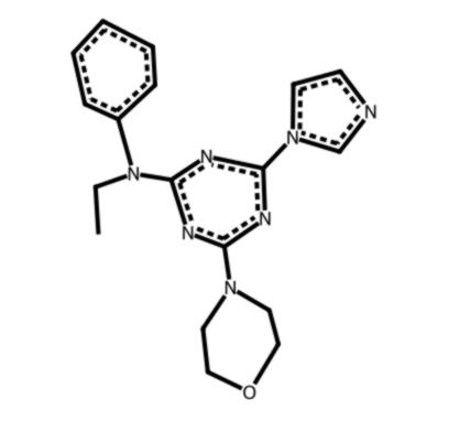 CCN(c1ccccc1)c1nc(N2CCOCC2)nc(-n2ccnc2)n1